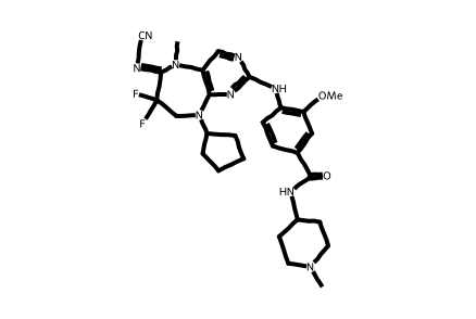 COc1cc(C(=O)NC2CCN(C)CC2)ccc1Nc1ncc2c(n1)N(C1CCCC1)CC(F)(F)C(=NC#N)N2C